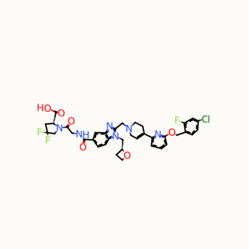 O=C(NCC(=O)N1CC(F)(F)C[C@H]1C(=O)O)c1ccc2c(c1)nc(CN1CC=C(c3cccc(OCc4ccc(Cl)cc4F)n3)CC1)n2C[C@@H]1CCO1